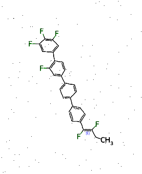 CC/C(F)=C(\F)c1ccc(-c2ccc(-c3ccc(-c4cc(F)c(F)c(F)c4)c(F)c3)cc2)cc1